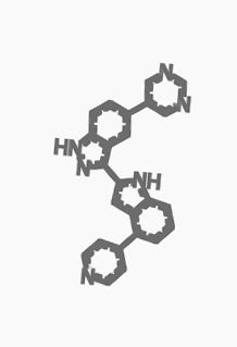 c1cc(-c2ccncc2)c2cc(-c3n[nH]c4ccc(-c5cncnc5)cc34)[nH]c2c1